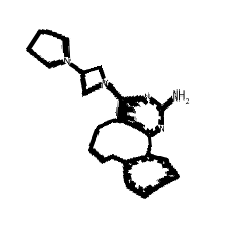 Nc1nc2c(c(N3CC(N4CCCC4)C3)n1)CCCc1ccccc1-2